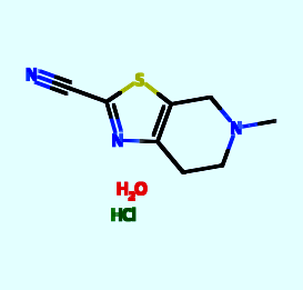 CN1CCc2nc(C#N)sc2C1.Cl.O